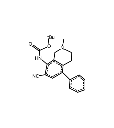 CN1CCc2c(-c3ccccc3)cc(C#N)c(NC(=O)OC(C)(C)C)c2C1